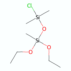 CCO[Si](C)(OCC)O[Si](C)(C)Cl